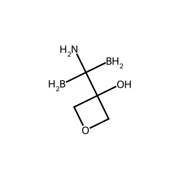 BC(B)(N)C1(O)COC1